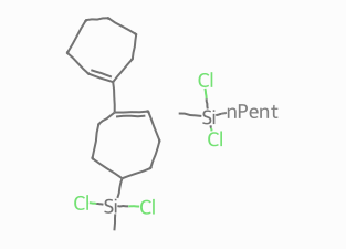 CCCCC[Si](C)(Cl)Cl.C[Si](Cl)(Cl)C1CCC=C(C2=CCCCCC2)CC1